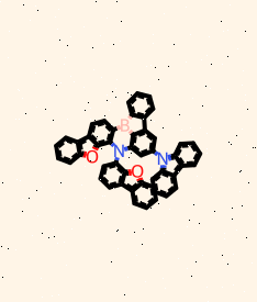 c1ccc2c(c1)B1c3ccc4c(oc5ccccc54)c3N(c3cccc4c3oc3ccccc34)c3cc(-n4c5ccccc5c5ccccc54)cc-2c31